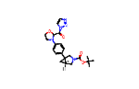 CC(C)(C)OC(=O)N1C[C@@H]2CC2(c2ccc(N3CCOC3C(=O)n3ccnn3)cc2)C1